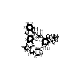 CCS(=O)(=O)N(C)c1cc(C(C)(C)C)cc(NC(=O)NCc2ccccc2Oc2ccc3c(c2)N2C=CN(CN4CCOCC4)C2S3)c1OC